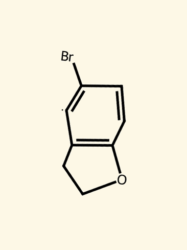 Brc1[c]c2c(cc1)OCC2